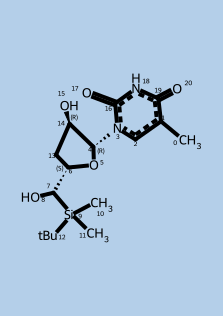 Cc1cn([C@@H]2O[C@H](C(O)[Si](C)(C)C(C)(C)C)C[C@H]2O)c(=O)[nH]c1=O